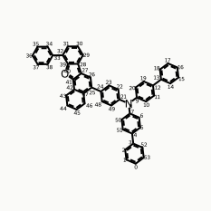 c1ccc(-c2ccc(N(c3ccc(-c4ccccc4)cc3)c3ccc(-c4cc5c6cccc(-c7ccccc7)c6oc5c5ccccc45)cc3)cc2)cc1